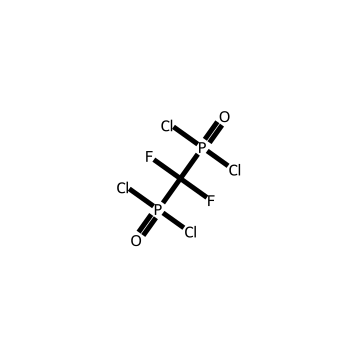 O=P(Cl)(Cl)C(F)(F)P(=O)(Cl)Cl